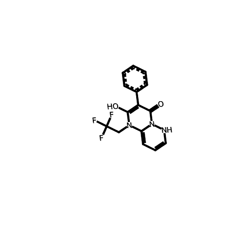 O=C1C(c2ccccc2)=C(O)N(CC(F)(F)F)C2=CC=CNN12